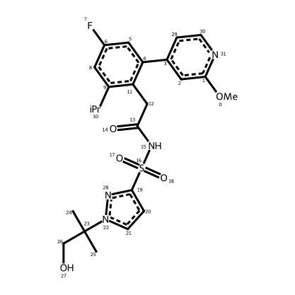 COc1cc(-c2cc(F)cc(C(C)C)c2CC(=O)NS(=O)(=O)c2ccn(C(C)(C)CO)n2)ccn1